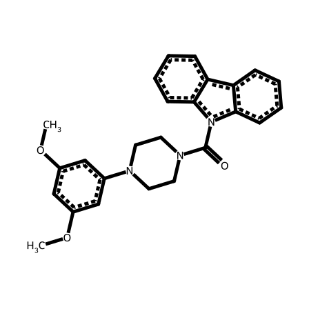 COc1cc(OC)cc(N2CCN(C(=O)n3c4ccccc4c4ccccc43)CC2)c1